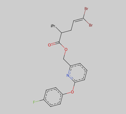 CC(C)C(CC=C(Br)Br)C(=O)OCc1cccc(Oc2ccc(F)cc2)n1